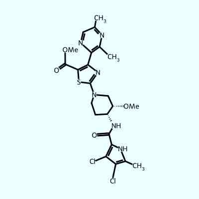 COC(=O)c1sc(N2CC[C@@H](NC(=O)c3[nH]c(C)c(Cl)c3Cl)[C@@H](OC)C2)nc1-c1ncc(C)nc1C